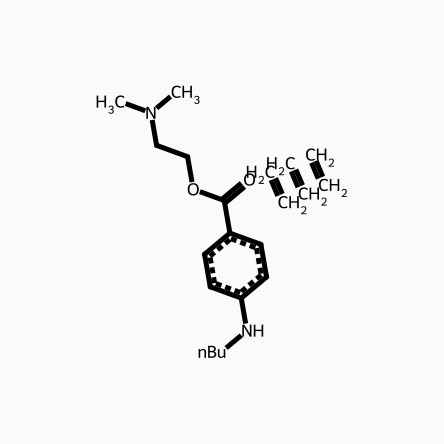 C=C.C=C.C=C.CCCCNc1ccc(C(=O)OCCN(C)C)cc1